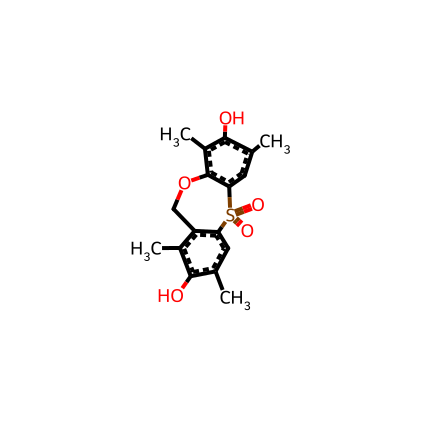 Cc1cc2c(c(C)c1O)COc1c(cc(C)c(O)c1C)S2(=O)=O